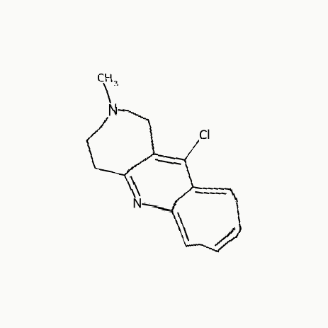 CN1CCc2nc3ccccc3c(Cl)c2C1